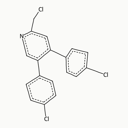 ClCc1cc(-c2ccc(Cl)cc2)c(-c2ccc(Cl)cc2)cn1